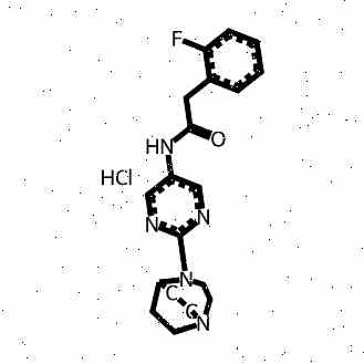 Cl.O=C(Cc1ccccc1F)Nc1cnc(N2CCN3CCC2CC3)nc1